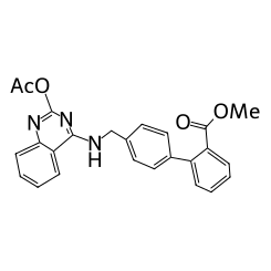 COC(=O)c1ccccc1-c1ccc(CNc2nc(OC(C)=O)nc3ccccc23)cc1